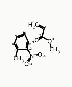 C=CC(=O)OC.Cc1ccccc1[N+](=O)[O-]